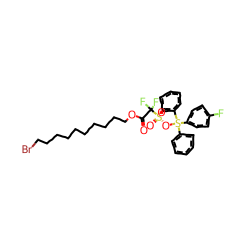 O=C(OCCCCCCCCCCBr)C(F)(F)S(=O)(=O)OS(c1ccccc1)(c1ccccc1)c1ccc(F)cc1